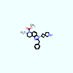 COC(=O)N1c2ccc3c(nc(Cc4ccccc4)n3[C@H]3C[C@]4(CCNC4)C3)c2CC[C@@H]1C